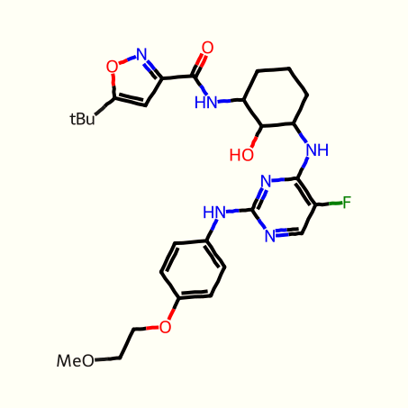 COCCOc1ccc(Nc2ncc(F)c(NC3CCCC(NC(=O)c4cc(C(C)(C)C)on4)C3O)n2)cc1